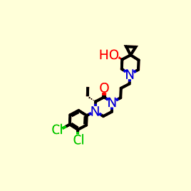 CC[C@@H]1C(=O)N(CCCN2CCC3(CC3)[C@H](O)C2)CCN1c1ccc(Cl)c(Cl)c1